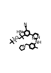 Cc1ccc(CN2CCCC2)cc1Nc1nccc(-c2cc(C#N)c3c(c2)C(C)(CO[Si](C)(C)C(C)(C)C)CN3)n1